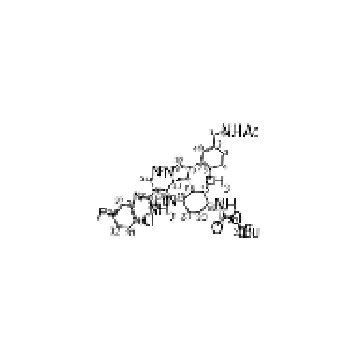 CC(=O)NCc1ccc(C)c(-c2cc3c(N[C@H]4CC[C@H](NC(=O)OC(C)(C)C)CC4)c(/C(N)=N/c4cc(F)ccc4Cl)cnn3c2)c1